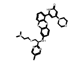 Cc1cnc(C(COCCN(C)C)Nc2ccc3c(c2)Sc2cccc(-c4cc(N5CCOCC5)cc(=O)[nH]4)c2S3)nc1